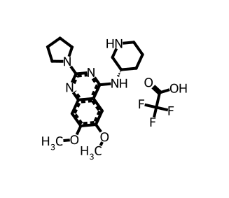 COc1cc2nc(N3CCCC3)nc(N[C@H]3CCCNC3)c2cc1OC.O=C(O)C(F)(F)F